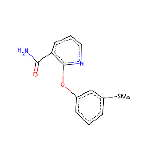 CSc1cccc(Oc2ncccc2C(N)=O)c1